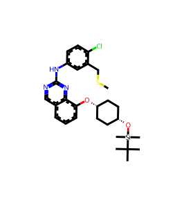 CSCc1cc(Nc2ncc3cccc(O[C@H]4CC[C@@H](O[Si](C)(C)C(C)(C)C)CC4)c3n2)ccc1Cl